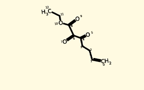 C=CCCC(=O)C(=O)C(=O)OCC